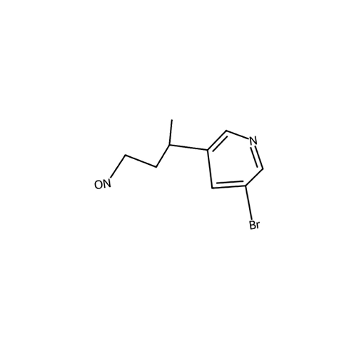 CC(CCN=O)c1cncc(Br)c1